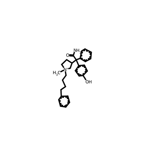 C[N+]1(CCCCc2ccccc2)CCC(C(C(N)=O)(c2ccccc2)c2ccc(O)cc2)C1